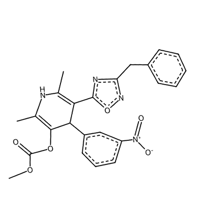 COC(=O)OC1=C(C)NC(C)=C(c2nc(Cc3ccccc3)no2)C1c1cccc([N+](=O)[O-])c1